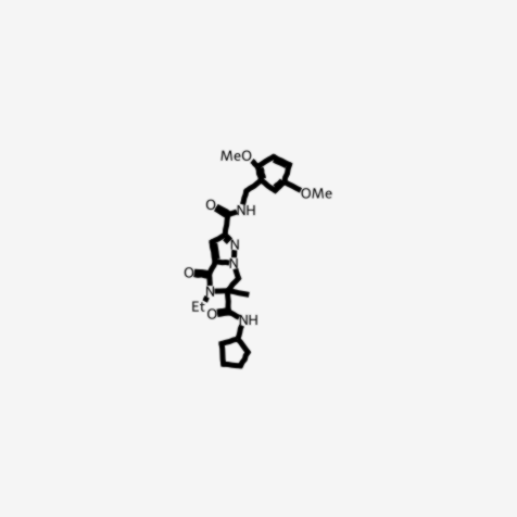 CCN1C(=O)c2cc(C(=O)NCc3cc(OC)ccc3OC)nn2CC1(C)C(=O)NC1CCCC1